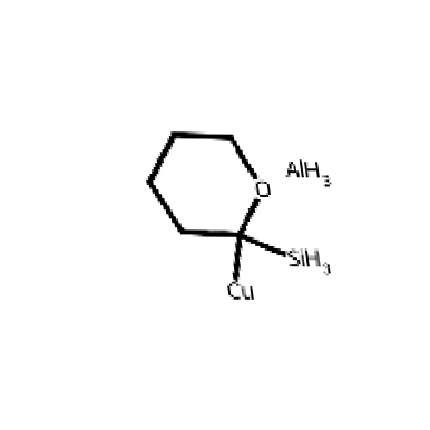 [AlH3].[SiH3][C]1([Cu])CCCCO1